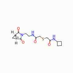 O=C(CSCC(=O)NC1CCC1)NCCN1C(=O)[C@H]2C[C@H]2C1=O